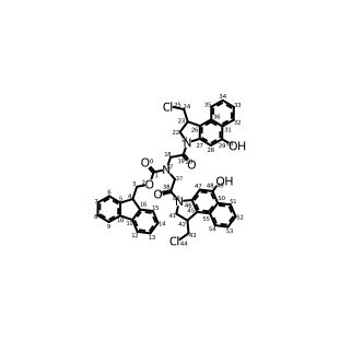 O=C(OCC1c2ccccc2-c2ccccc21)N(CC(=O)N1CC(CCl)c2c1cc(O)c1ccccc21)CC(=O)N1CC(CCl)c2c1cc(O)c1ccccc21